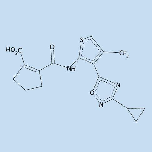 O=C(O)C1=C(C(=O)Nc2scc(C(F)(F)F)c2-c2nc(C3CC3)no2)CCC1